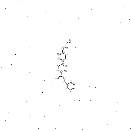 O=C(OCc1ccccc1)N1CCC(c2ccc(OCCCl)cc2)CC1